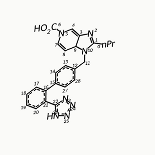 CCCC1=NC2=CN(C(=O)O)C=CC2N1Cc1ccc(-c2ccccc2-c2nnn[nH]2)cc1